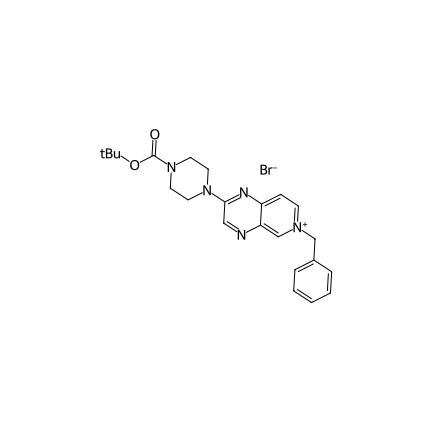 CC(C)(C)OC(=O)N1CCN(c2cnc3c[n+](Cc4ccccc4)ccc3n2)CC1.[Br-]